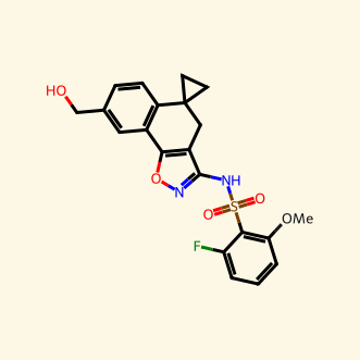 COc1cccc(F)c1S(=O)(=O)Nc1noc2c1CC1(CC1)c1ccc(CO)cc1-2